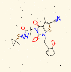 COc1ccccc1CCn1c(=O)n(C(C)(C)C(=O)NSC2(C)CC2)c(=O)c2c(C)c(C#N)sc21